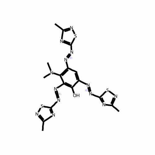 Cc1nsc(/N=N/c2cc(/N=N/c3nc(C)ns3)c(N(C)C)c(/N=N/c3nc(C)ns3)c2O)n1